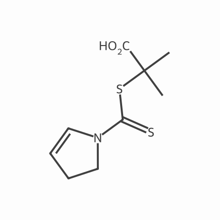 CC(C)(SC(=S)N1C=CCC1)C(=O)O